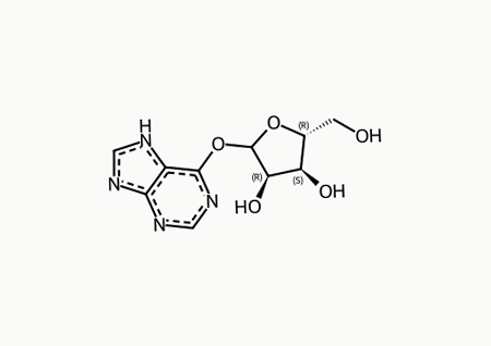 OC[C@H]1OC(Oc2ncnc3nc[nH]c23)[C@H](O)[C@@H]1O